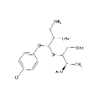 CC(=O)OCC(OC(Oc1ccc(Cl)cc1)[C@H](CN)OC(C)=O)[C@@H](C)OC(C)=O